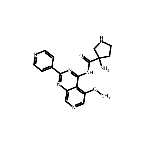 COc1cncc2nc(-c3ccncc3)nc(NC(=O)C3(N)CCNC3)c12